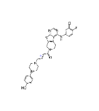 O=C(/C=C/CN1CCN(c2ccc(O)cc2)CC1)N1CCc2c(sc3ncnc(Nc4ccc(F)c(Cl)c4)c23)C1